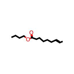 C/C=C/CCCCCC(=O)OCCCC